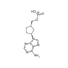 Nc1ncnc2c1ncn2[C@H]1CC[C@@H](CO[PH](=O)O)C1